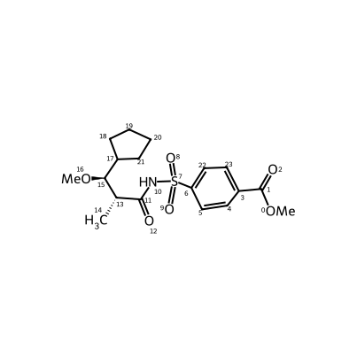 COC(=O)c1ccc(S(=O)(=O)NC(=O)[C@H](C)[C@@H](OC)C2CCCC2)cc1